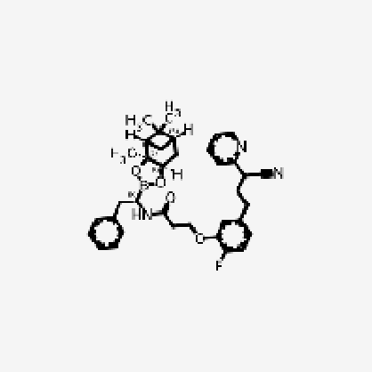 CC1(C)[C@@H]2C[C@H]3OB([C@H](Cc4ccccc4)NC(=O)CCOc4cc(CCC(C#N)c5ccccn5)ccc4F)O[C@@]3(C)[C@H]1C2